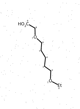 CCOCCCCCOCC(=O)O